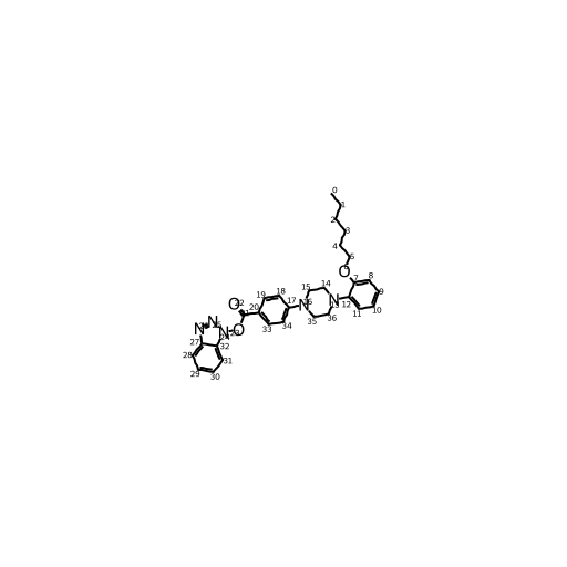 CCCCCCOc1ccccc1N1CCN(c2ccc(C(=O)On3nnc4ccccc43)cc2)CC1